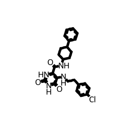 O=C(NC1CCC(c2ccccc2)CC1)c1[nH]c(=O)[nH]c(=O)c1NCCc1ccc(Cl)cc1